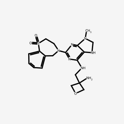 CN1CNc2c(NCC3(N)COC3)nc(N3CCS(=O)(=O)c4ccccc4C3)nc21